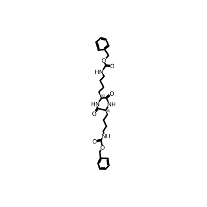 O=C(NCCCC[C@@H]1NC(=O)[C@H](CCCCNC(=O)OCc2ccccc2)NC1=O)OCc1ccccc1